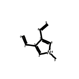 C=Cc1cn(C)cc1C=C